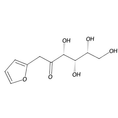 O=C(Cc1ccco1)[C@H](O)[C@@H](O)[C@H](O)CO